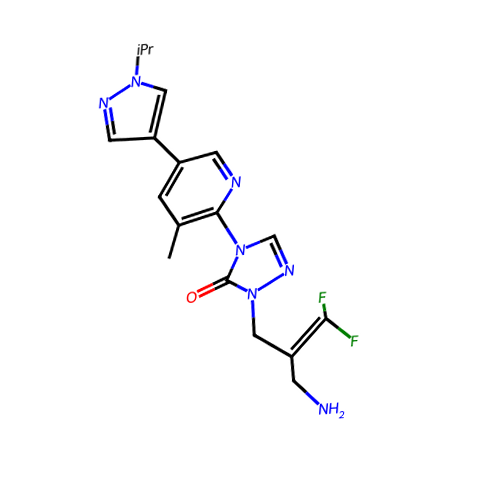 Cc1cc(-c2cnn(C(C)C)c2)cnc1-n1cnn(CC(CN)=C(F)F)c1=O